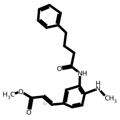 CNc1ccc(/C=C/C(=O)OC)cc1NC(=O)CCCc1ccccc1